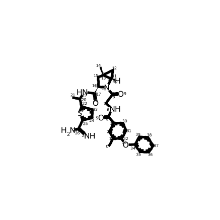 Cc1cc(C(=O)NCC(=O)N2[C@H]3C[C@@]3(C)C[C@H]2C(=O)NC(C)c2ccc(C(=N)N)s2)ccc1Oc1ccccc1